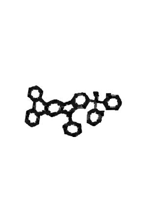 O=P(c1ccc2c3cc4c5ccccc5c5ccccc5c4cc3n(-c3ccccc3)c2c1)(c1ccccn1)c1ccccn1